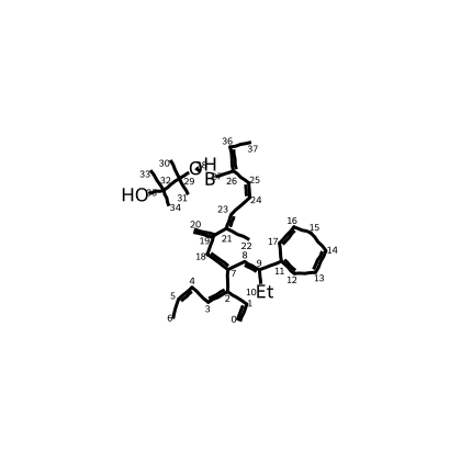 C=CC(=C/C=C\C)/C(/C=C(\CC)C1=CC=CCC=C1)=C/C(=C)/C(C)=C/C=C\C(BOC(C)(C)C(C)(C)O)=C/C